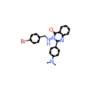 CN(C)c1ccc(-c2nc3ccccc3c(=O)n2NCc2ccc(Br)cc2)cc1